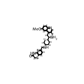 COc1ccc2ncc(F)c(C[C@@H](N)[C@H]3CC[C@@H](NCc4ccc5c(n4)NC(=O)CS5)CC3)c2c1